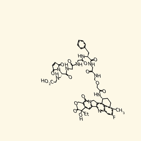 CC[C@@]1(O)C(=O)OCc2c1cc1n(c2=O)Cc2c-1nc1cc(F)c(C)c3c1c2[C@@H](NC(=O)COCNC(=O)CNC(=O)[C@H](Cc1ccccc1)NC(=O)CNC(=O)CNC(=O)[C@H](CNCC(=O)O)N1C(=O)C=CC1=O)CC3